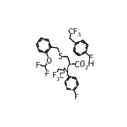 Fc1ccc(CC(F)(F)F)cc1.O=C(O)[C@H](CSCc1ccccc1OC(F)F)N(CC(F)(F)F)c1ccc(F)cc1